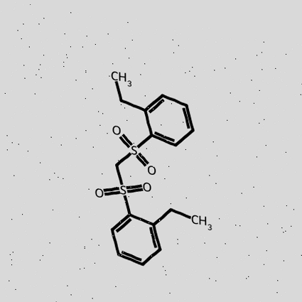 CCc1ccccc1S(=O)(=O)CS(=O)(=O)c1ccccc1CC